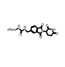 CCCCCNC(=O)NCc1ccc2c(c1)C(=O)N(C1CCC(=O)NC1=O)C2=O